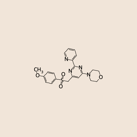 COc1ccc(S(=O)(=O)Cc2cc(N3CCOCC3)nc(-c3ccccn3)n2)cc1